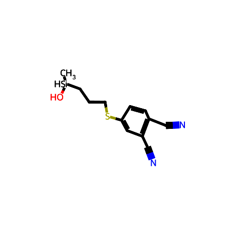 C[SiH](O)CCCSc1ccc(C#N)c(C#N)c1